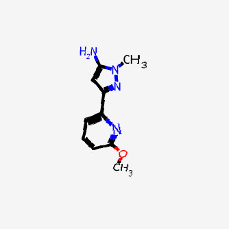 COc1cccc(-c2cc(N)n(C)n2)n1